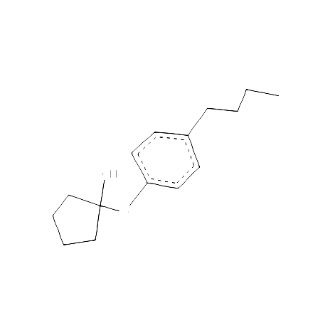 CC1(Oc2ccc(CCCI)cc2)CCCC1